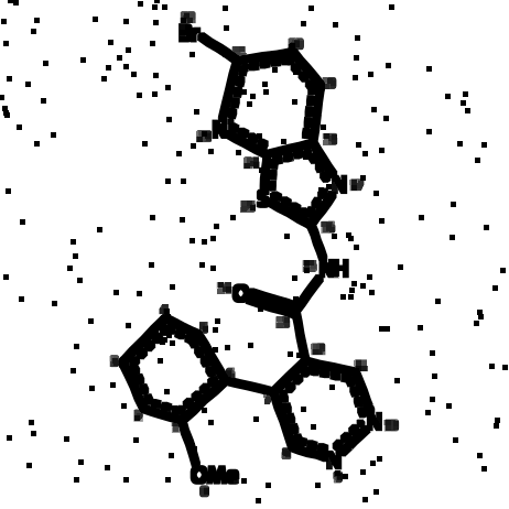 COc1ccccc1-c1cnncc1C(=O)Nc1nc2ccc(Br)nc2s1